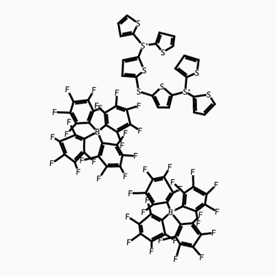 Fc1c(F)c(F)c([B-](c2c(F)c(F)c(F)c(F)c2F)(c2c(F)c(F)c(F)c(F)c2F)c2c(F)c(F)c(F)c(F)c2F)c(F)c1F.Fc1c(F)c(F)c([B-](c2c(F)c(F)c(F)c(F)c2F)(c2c(F)c(F)c(F)c(F)c2F)c2c(F)c(F)c(F)c(F)c2F)c(F)c1F.c1csc([S+](c2cccs2)c2ccc(Sc3ccc([S+](c4cccs4)c4cccs4)s3)s2)c1